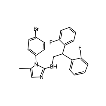 Cc1cnc(BCC(c2ccccc2F)c2ccccc2F)n1-c1ccc(Br)cc1